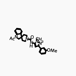 COc1cccc(-c2cc(NC(=O)N3CCC4(CC3)CN(C(C)=O)c3ccccc34)n(C)n2)c1